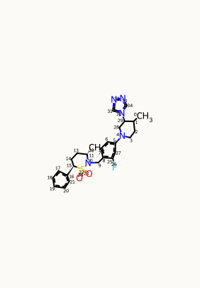 CC1CCN(c2ccc(CN3[C@@H](C)CC[C@H](c4ccccc4)S3(=O)=O)c(F)c2)CC1n1cnnc1